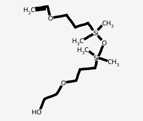 C=COCCC[Si](C)(C)O[Si](C)(C)CCCOCCO